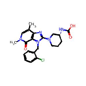 Cc1cn(C)c(=O)c2c1nc(N1CCC[C@@H](NC(=O)O)C1)n2Cc1ccccc1Cl